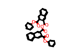 O=C(OC(=O)c1cc2ccccc2cc1C(=O)Oc1ccccc1)c1cc2ccccc2cc1C(=O)Oc1ccccc1